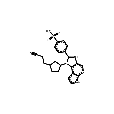 CS(=O)(=O)c1ccc(C2Nc3cnc4[nH]ccc4c3N2C2CCN(CCC#N)C2)cc1